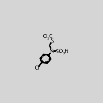 O=S(=O)(O)N(CSC(Cl)(Cl)Cl)c1ccc(Cl)cc1